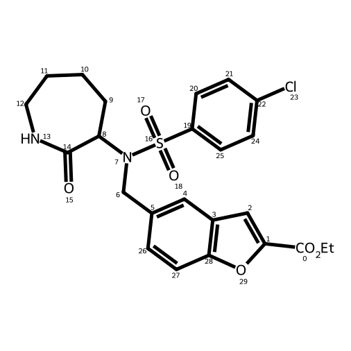 CCOC(=O)c1cc2cc(CN(C3CCCCNC3=O)S(=O)(=O)c3ccc(Cl)cc3)ccc2o1